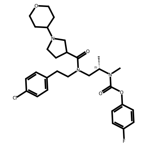 C[C@@H](CN(CCc1ccc(Cl)cc1)C(=O)C1CCN(C2CCOCC2)C1)N(C)C(=O)Oc1ccc(F)cc1